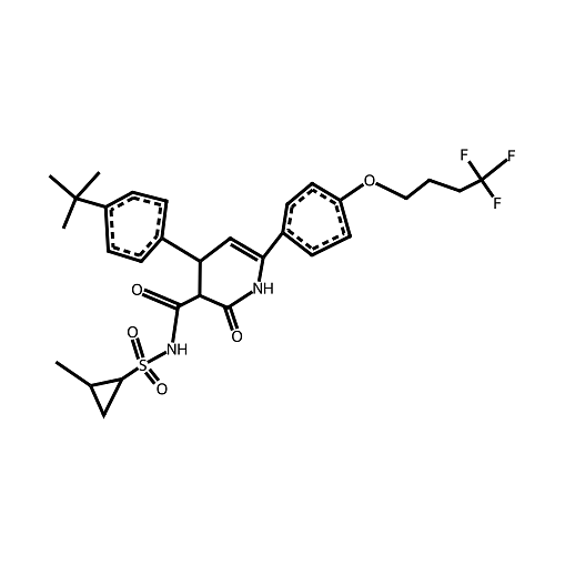 CC1CC1S(=O)(=O)NC(=O)C1C(=O)NC(c2ccc(OCCCC(F)(F)F)cc2)=CC1c1ccc(C(C)(C)C)cc1